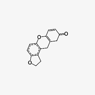 O=C1C=CC2=C(C1)Cc1c(ccc3c1CCO3)O2